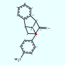 COc1ccc(CN2C3CCC(=O)C2c2ccccc23)cc1